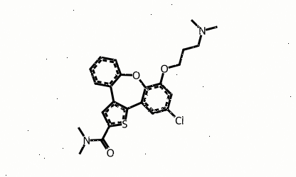 CN(C)CCCOc1cc(Cl)cc2c1Oc1ccccc1-c1cc(C(=O)N(C)C)sc1-2